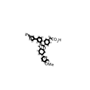 COc1ccc([C@H]2CC[C@H](CN(c3cccc(-c4cnn(C(C)C)c4)c3)C(=O)[C@H]3CC[C@H](CC(=O)O)CC3)CC2)nc1C